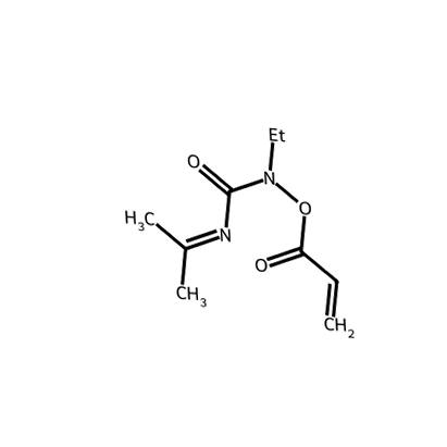 C=CC(=O)ON(CC)C(=O)N=C(C)C